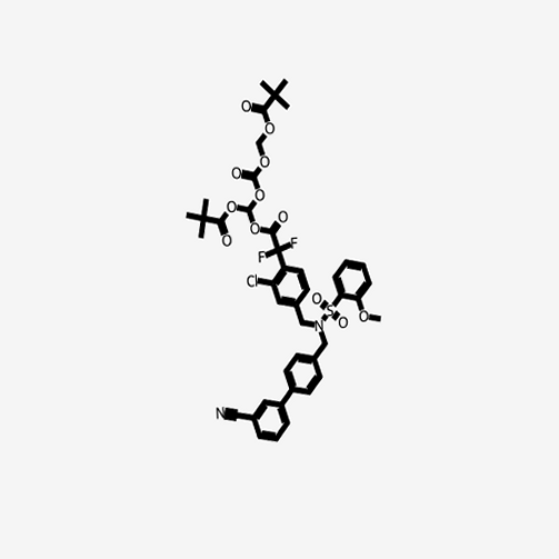 COc1ccccc1S(=O)(=O)N(Cc1ccc(-c2cccc(C#N)c2)cc1)Cc1ccc(C(F)(F)C(=O)OC(OC(=O)OCOC(=O)C(C)(C)C)OC(=O)C(C)(C)C)c(Cl)c1